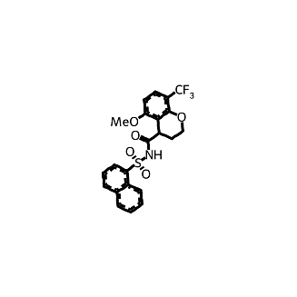 COc1ccc(C(F)(F)F)c2c1C(C(=O)NS(=O)(=O)c1cccc3ccccc13)CCO2